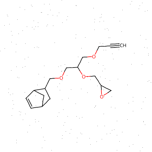 C#CCOCC(COCC1CC2C=CC1C2)OCC1CO1